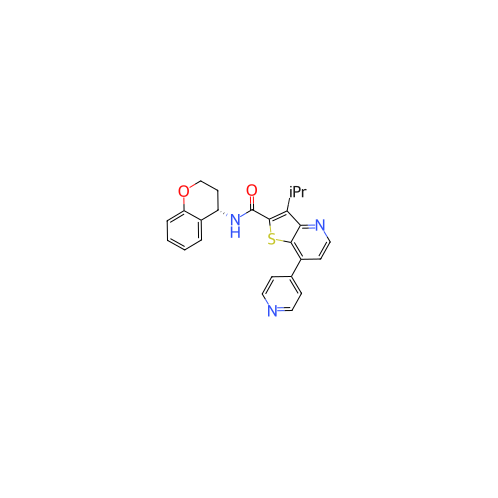 CC(C)c1c(C(=O)N[C@H]2CCOc3ccccc32)sc2c(-c3ccncc3)ccnc12